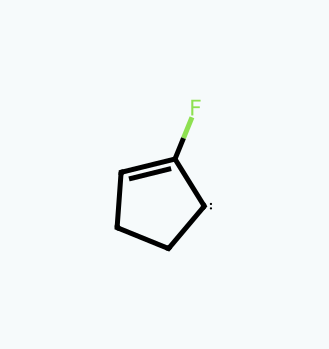 FC1=CCC[C]1